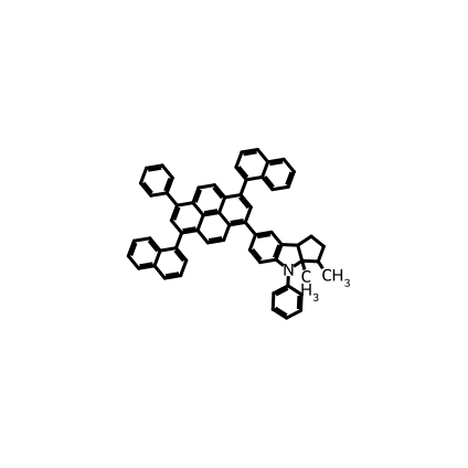 CC1CCC2c3cc(-c4cc(-c5cccc6ccccc56)c5ccc6c(-c7ccccc7)cc(-c7cccc8ccccc78)c7ccc4c5c67)ccc3N(c3ccccc3)C12C